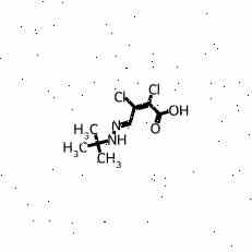 CC(C)(C)N/N=C/C(Cl)=C(/Cl)C(=O)O